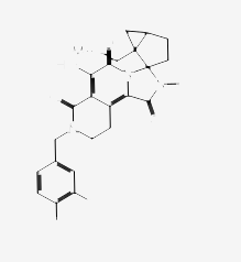 CSCC12CC1CCC21N(C)C(=O)c2c3c(c(O)c(=O)n21)C(=O)N(Cc1ccc(F)c(Cl)c1)CC3